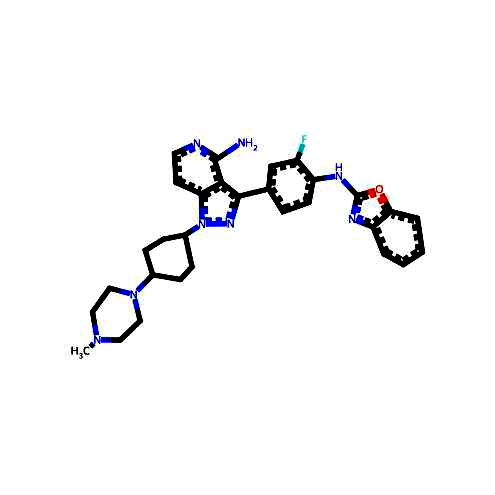 CN1CCN(C2CCC(n3nc(-c4ccc(Nc5nc6ccccc6o5)c(F)c4)c4c(N)nccc43)CC2)CC1